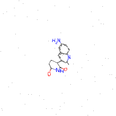 Cc1nc2ccc(N)cc2cc1C1CCC(=O)NC1=O